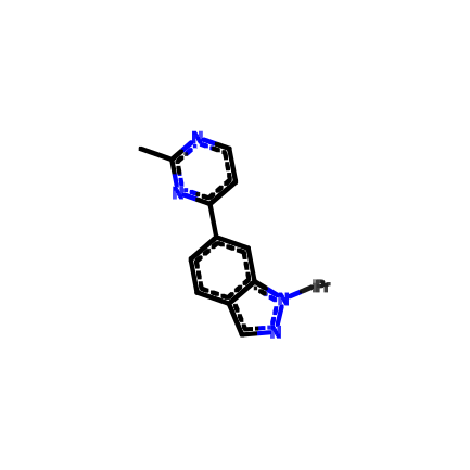 Cc1nccc(-c2ccc3cnn(C(C)C)c3c2)n1